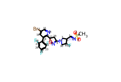 CS(=O)(=O)/N=C/C1CN(C2=NOC(c3ncc(Br)cc3-c3c(F)cc(F)cc3F)C2)C[C@@H]1F